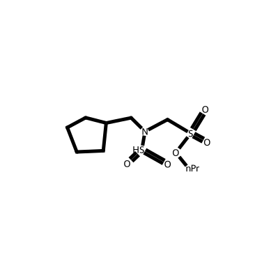 CCCOS(=O)(=O)CN(CC1CCCC1)[SH](=O)=O